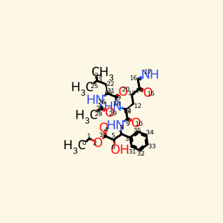 CCOC(=O)C(O)C(NC(=O)[C@H](CCC(=O)C=N)NC(=O)[C@H](CC(C)C)NC(C)=O)c1ccccc1